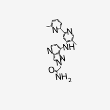 Cc1cccc(-c2cc(Nc3ccnc4cn(CC(N)=O)nc34)c(C)cn2)n1